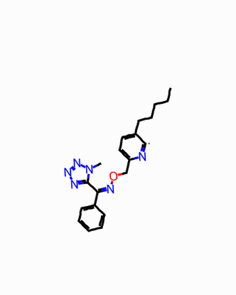 CCCCCc1[c]nc(CON=C(c2ccccc2)c2nnnn2C)cc1